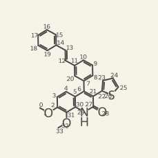 COc1ccc2c(-c3cccc(C=Cc4ccccc4)c3)c(-c3cccs3)c(=O)[nH]c2c1OC